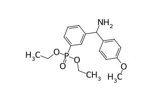 CCOP(=O)(OCC)c1cccc(C(N)c2ccc(OC)cc2)c1